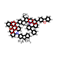 CCc1cc(-c2cccc(-c3ccccc3-c3c(-c4ccccc4)cccc3N(c3ccc4c(c3)-c3ccccc3C4(C)C)c3ccccc3-c3cccc4c3sc3ccccc34)c2)ccc1-c1cc(N(c2ccc(-c3ccc4c(c3)oc3ccccc34)cc2)c2cccc(-c3ccccc3)c2-c2ccccc2-c2ccccc2)ccc1CC